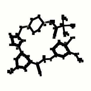 COc1cc(CNC(=O)c2cc(-c3nnn(C[C@H]4CC[C@@H](NC(=O)C(C)(C)O)CC4)n3)cc(C)n2)ccc1F